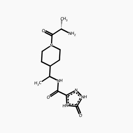 CC(NC(=O)c1n[nH]c(=O)[nH]1)C1CCN(C(=O)[C@H](C)N)CC1